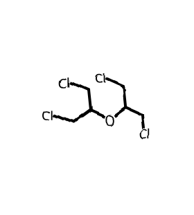 ClCC(CCl)OC(CCl)CCl